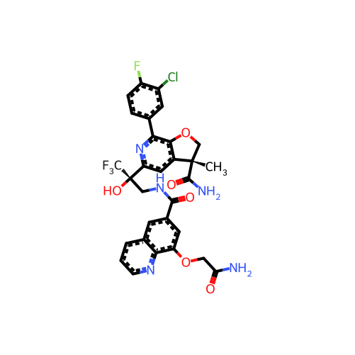 C[C@]1(C(N)=O)COc2c1cc([C@@](O)(CNC(=O)c1cc(OCC(N)=O)c3ncccc3c1)C(F)(F)F)nc2-c1ccc(F)c(Cl)c1